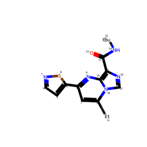 CCc1cc(-c2ccns2)nc2c(C(=O)NC(C)(C)C)ncn12